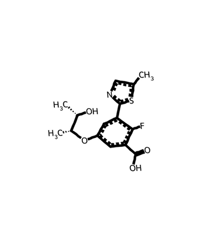 Cc1cnc(-c2cc(O[C@H](C)[C@H](C)O)cc(C(=O)O)c2F)s1